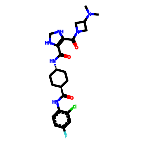 CN(C)C1CN(C(=O)C2=C(C(=O)N[C@H]3CC[C@H](C(=O)Nc4ccc(F)cc4Cl)CC3)NCN2)C1